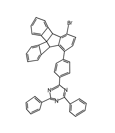 Brc1ccc(-c2ccc(-c3nc(-c4ccccc4)nc(-c4ccccc4)n3)cc2)c2c1C1c3ccccc3C13c1ccccc1C23